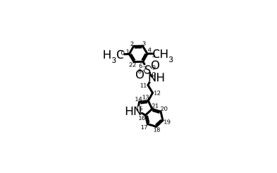 Cc1ccc(C)c(S(=O)(=O)NCCc2c[nH]c3ccccc23)c1